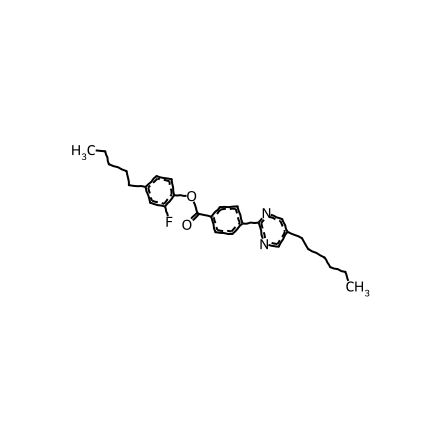 CCCCCCc1cnc(-c2ccc(C(=O)Oc3ccc(CCCCC)cc3F)cc2)nc1